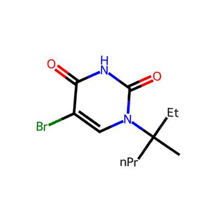 CCCC(C)(CC)n1cc(Br)c(=O)[nH]c1=O